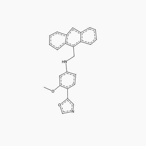 COc1cc(NCc2c3ccccc3cc3ccccc23)ccc1-c1cnco1